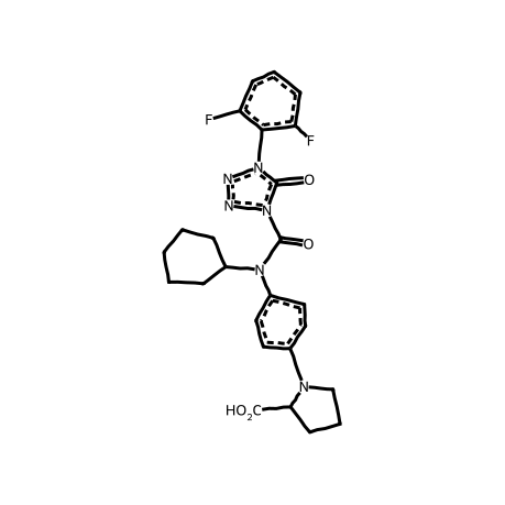 O=C(O)C1CCCN1c1ccc(N(C(=O)n2nnn(-c3c(F)cccc3F)c2=O)C2CCCCC2)cc1